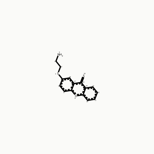 NCCSc1ccc2oc3ccccc3c(=S)c2c1